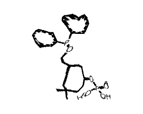 CC1(C)CC(COP(c2ccccc2)c2ccccc2)CC(OP(=O)(O)O)C1